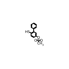 CS(=O)(=O)Oc1ccc(S)c(-c2ccccc2)c1